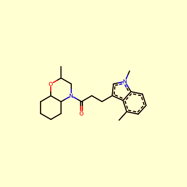 Cc1cccc2c1c(CCC(=O)N1CC(C)OC3CCCCC31)cn2C